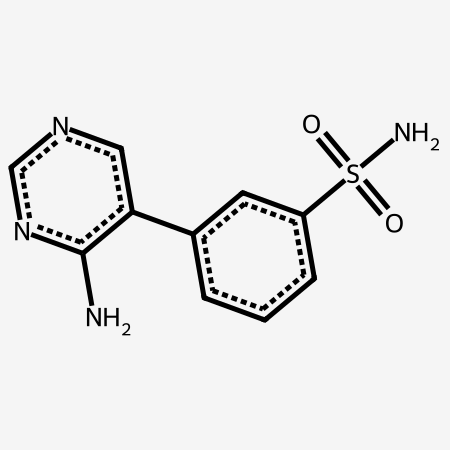 Nc1ncncc1-c1cccc(S(N)(=O)=O)c1